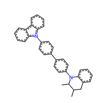 CC1Cc2ccccc2N(c2ccc(-c3ccc(-n4c5ccccc5c5ccccc54)cc3)cc2)C1C